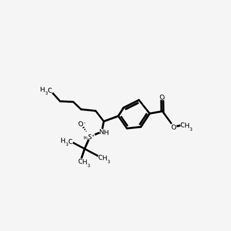 CCCCCC(N[S@@+]([O-])C(C)(C)C)c1ccc(C(=O)OC)cc1